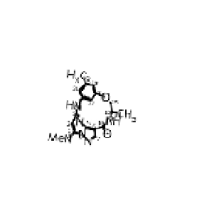 CNc1cc2nc3c(cnn13)C(=O)NC(C)COc1cc(C)cc(c1)N2